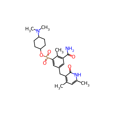 Cc1cc(C)c(Cc2cc(C(N)=O)c(C)c(S(=O)(=O)OC3CCC(N(C)C)CC3)c2)c(=O)[nH]1